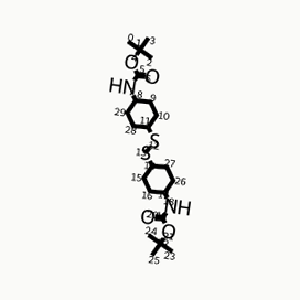 CC(C)(C)OC(=O)NC1CCC(SSC2CCC(NC(=O)OC(C)(C)C)CC2)CC1